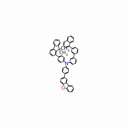 CC1(C)c2ccccc2-c2cccc(-c3ccc(N(c4ccc(-c5ccc6oc7ccccc7c6c5)cc4)c4cccc(-c5cccc(-c6cccc7ccccc67)c5)c4)cc3)c21